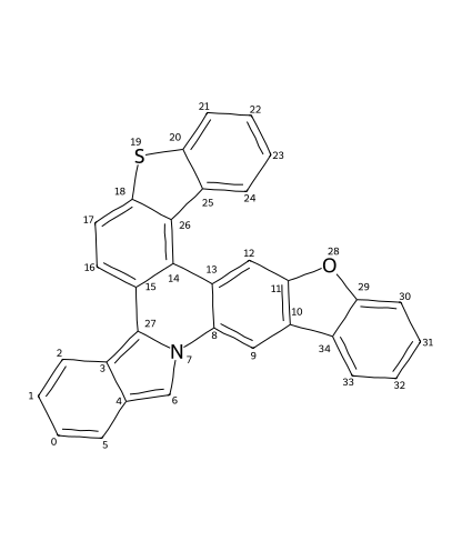 c1ccc2c(c1)cn1c3cc4c(cc3c3c(ccc5sc6ccccc6c53)c21)oc1ccccc14